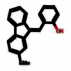 CNc1ccc2c(c1)/C(=C/c1ccccc1O)c1ccccc1-2